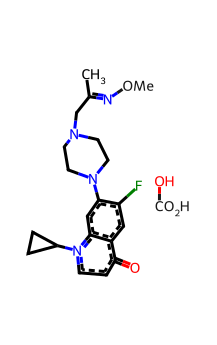 CON=C(C)CN1CCN(c2cc3c(cc2F)c(=O)ccn3C2CC2)CC1.O=C(O)O